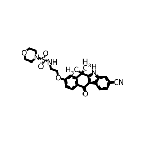 CC1(C)c2cc(OCCNS(=O)(=O)N3CCOCC3)ccc2C(=O)c2c1[nH]c1cc(C#N)ccc21